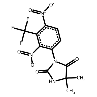 CC1(C)NC(=O)N(c2ccc([N+](=O)[O-])c(C(F)(F)F)c2[N+](=O)[O-])C1=O